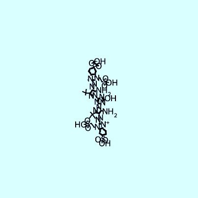 C[n+]1c(N=Nc2c(C(C)(C)C)nn(-c3nc(O)nc(-n4nc(C(C)(C)C)c(N=Nc5n(CCS(=O)(=O)O)c6cc(S(=O)(=O)O)ccc6[n+]5C)c4N)n3)c2N)n(CCS(=O)(=O)O)c2cc(S(=O)(=O)O)ccc21